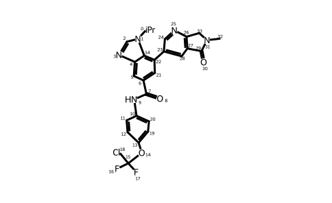 CC(C)n1cnc2cc(C(=O)Nc3ccc(OC(F)(F)Cl)cc3)cc(-c3cnc4c(c3)C(=O)N(C)C4)c21